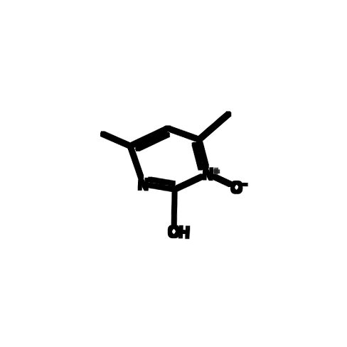 Cc1cc(C)[n+]([O-])c(O)n1